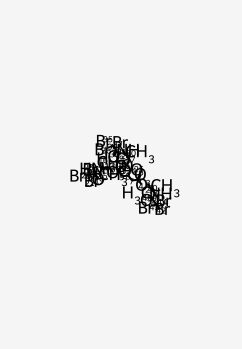 CC(C)(COC(=O)CC(CC(=O)OCC(C)(C)NC(=O)C(Br)(Br)Br)C(=O)OCC(C)(C)NC(=O)C(Br)(Br)Br)NC(=O)C(Br)(Br)Br